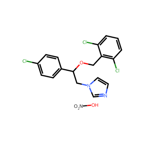 Clc1ccc(C(Cn2ccnc2)OCc2c(Cl)cccc2Cl)cc1.O=[N+]([O-])O